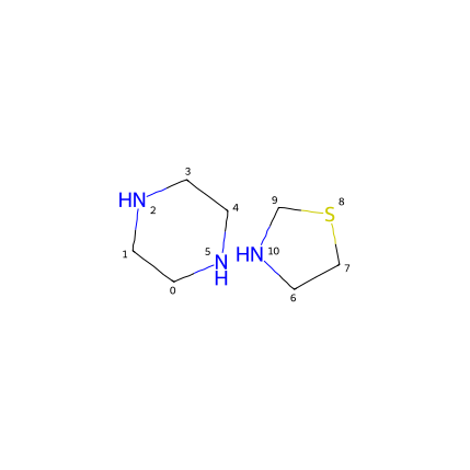 C1CNCCN1.C1CSCN1